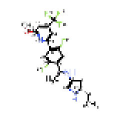 CC[C@H]1CC(NC(C)c2cc(F)c(-c3cc(C(F)(F)F)cc(OC)n3)cc2F)=CN1